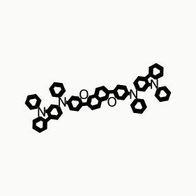 c1ccc(N(c2ccc3c(c2)oc2c3ccc3c2ccc2c4ccc(N(c5ccccc5)c5ccc6c7ccccc7n(-c7ccccc7)c6c5)cc4oc23)c2ccc3c4ccccc4n(-c4ccccc4)c3c2)cc1